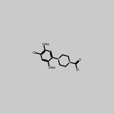 CCC(=O)N1CCN(c2cc(OC)c(Cl)cc2OC)CC1